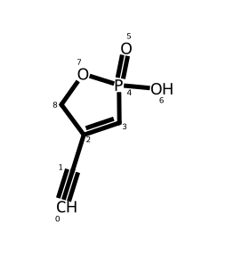 C#CC1=CP(=O)(O)OC1